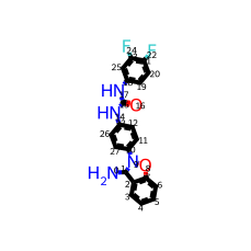 NC1c2ccccc2ON1c1ccc(NC(=O)Nc2ccc(F)c(F)c2)cc1